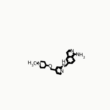 CN1CCC(OCc2ccnc(NCc3ccc4c(N)nccc4c3)c2)CC1